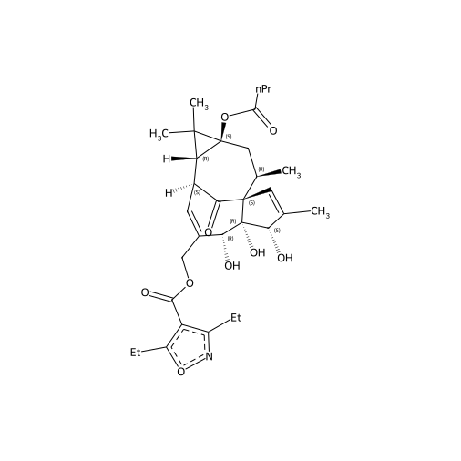 CCCC(=O)O[C@@]12C[C@@H](C)[C@]34C=C(C)[C@H](O)[C@@]3(O)[C@H](O)C(COC(=O)c3c(CC)noc3CC)=C[C@H](C4=O)[C@@H]1C2(C)C